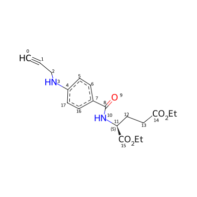 C#CCNc1ccc(C(=O)N[C@@H](CCC(=O)OCC)C(=O)OCC)cc1